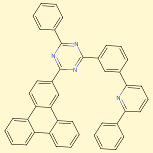 c1ccc(-c2cccc(-c3cccc(-c4nc(-c5ccccc5)nc(-c5ccc6c7ccccc7c7ccccc7c6c5)n4)c3)n2)cc1